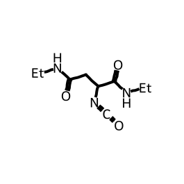 CCNC(=O)CC(N=C=O)C(=O)NCC